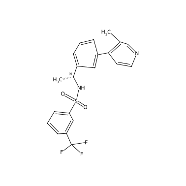 Cc1cnccc1-c1cccc([C@@H](C)NS(=O)(=O)c2cccc(C(F)(F)F)c2)c1